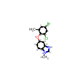 Cc1cc(Br)cc(Cl)c1Oc1ccc2c(c1)ncn2C